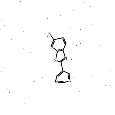 Nc1ccc2nc(-c3cccnc3)sc2c1